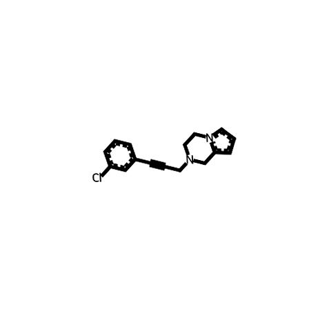 Clc1cccc(C#CCN2CCn3cccc3C2)c1